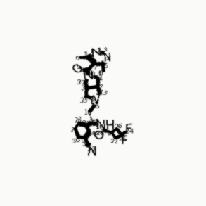 Cc1ncnc(C)c1C(=O)N1CC2CN(CC[C@H](NC(=O)C3CC(F)(F)C3)c3cccc(C#N)c3)CC2C1